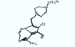 Nc1ncnn2c(CN3CCN(C(=O)O)CC3)c(Cl)c(Br)c12